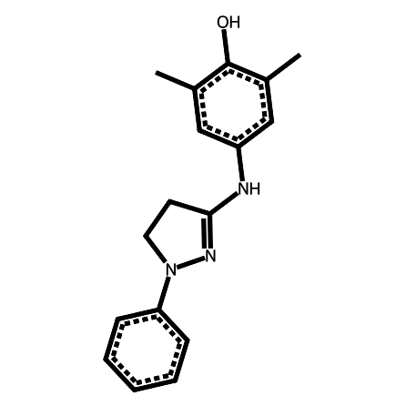 Cc1cc(NC2=NN(c3ccccc3)CC2)cc(C)c1O